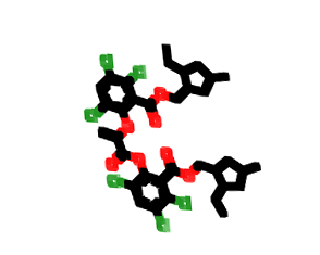 C=C(Oc1c(Cl)cc(Cl)c(Cl)c1C(=O)OCC1CC(C)CC1CC)C(=O)Oc1c(Cl)cc(Cl)c(Cl)c1C(=O)OCC1CC(C)CC1CC